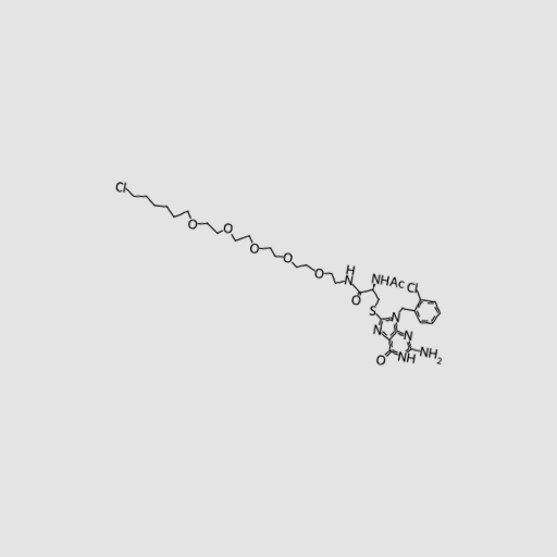 CC(=O)N[C@@H](CSc1nc2c(=O)[nH]c(N)nc2n1Cc1ccccc1Cl)C(=O)NCCOCCOCCOCCOCCOCCCCCCCl